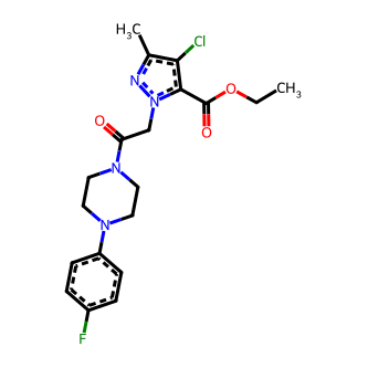 CCOC(=O)c1c(Cl)c(C)nn1CC(=O)N1CCN(c2ccc(F)cc2)CC1